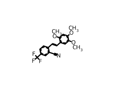 COc1cc(OC)c(OC)cc1C=Cc1ccc(C(F)(F)F)cc1C#N